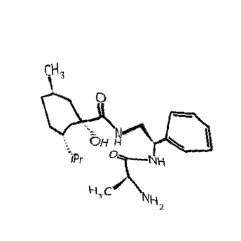 CC(C)[C@@H]1CC[C@@H](C)C[C@@]1(O)C(=O)NC[C@H](NC(=O)[C@H](C)N)c1ccccc1